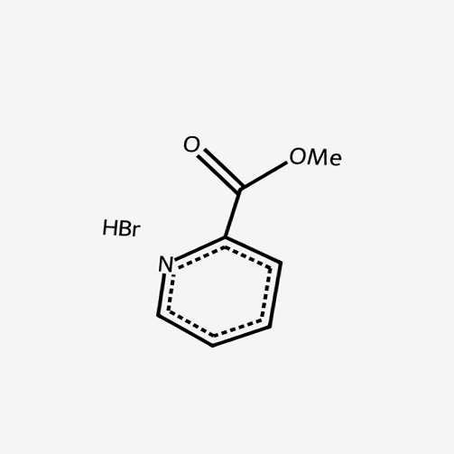 Br.COC(=O)c1ccccn1